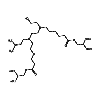 CCCCCCCCC(CCCCCCCC)COC(=O)CCCCCN(CCO)CCN(CC=C(C)C)CCOCCC(=O)OCC(CCCCCCCC)CCCCCCCC